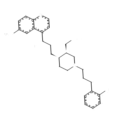 COc1ccc2nccc([C@@H](F)CC[C@@H]3CCN(CCCc4ccccc4C)C[C@@H]3CC(=O)O)c2c1